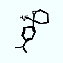 CC(C)c1ccc(C2([SiH3])CCCCO2)cc1